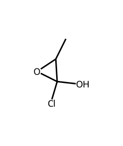 CC1OC1(O)Cl